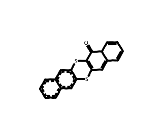 O=C1C2=C(C=C3C=CC=CC13)Sc1cc3ccccc3cc1S2